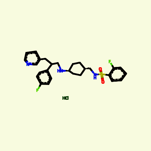 Cl.O=S(=O)(NC[C@H]1CC[C@H](NCC(Cc2cccnc2)c2ccc(F)cc2)CC1)c1ccccc1F